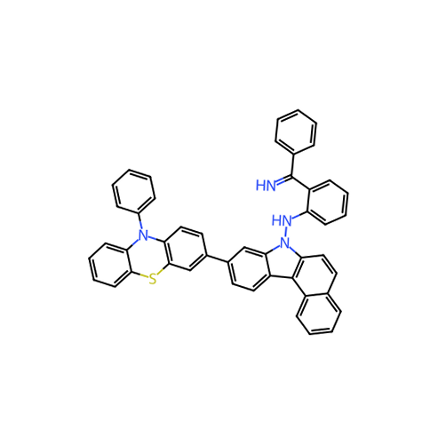 N=C(c1ccccc1)c1ccccc1Nn1c2cc(-c3ccc4c(c3)Sc3ccccc3N4c3ccccc3)ccc2c2c3ccccc3ccc21